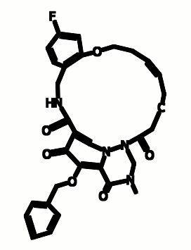 CN1CN2C(=O)CCC/C=C\CCOc3cc(F)ccc3CNC(=O)c3cn2c(c(OCc2ccccc2)c3=O)C1=O